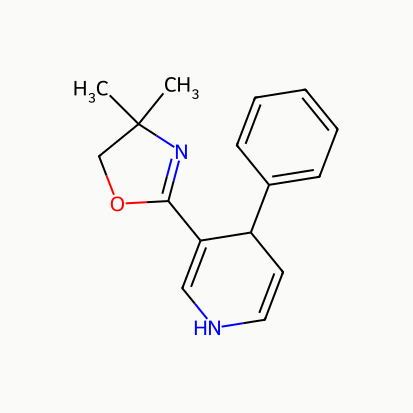 CC1(C)COC(C2=CNC=CC2c2ccccc2)=N1